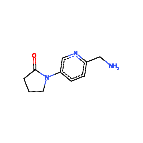 NCc1ccc(N2CCCC2=O)cn1